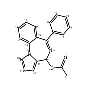 CC(=O)OC1N=C(c2ccccc2)c2ccccc2-n2nncc21